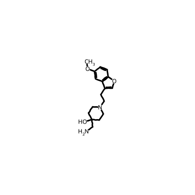 COc1ccc2occ(CCN3CCC(O)(CN)CC3)c2c1